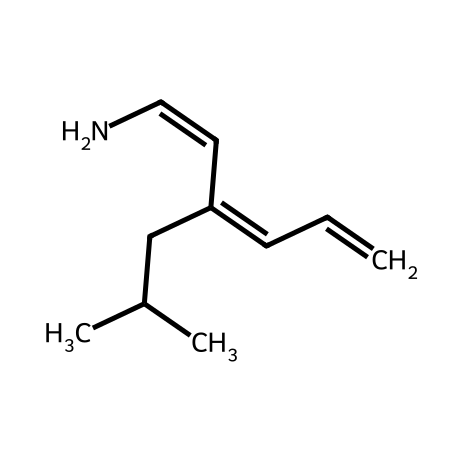 C=C/C=C(\C=C/N)CC(C)C